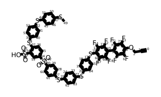 C#CCOc1c(F)c(F)c(-c2c(F)c(F)c(Sc3ccc(Sc4ccc(Sc5ccc(S(=O)(=O)c6ccc(Sc7ccc(Sc8ccc(SC)cc8)cc7)c(S(=O)(=O)O)c6)cc5)cc4)cc3)c(F)c2F)c(F)c1F